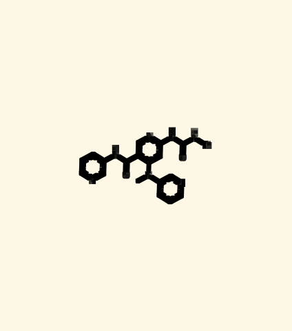 CCNC(=O)Nc1cc(N(C)c2cccnc2)c(C(=O)Nc2cccnc2)cn1